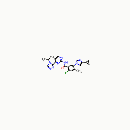 Cc1cc(F)c(C(=O)Nc2nccc(-c3nncn3C(C)C)n2)cc1-n1cnc(C2CC2)c1